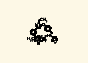 CCn1nc(-c2cccc(C(C)(C)NS(=O)(=O)CC(F)(F)F)c2)cc1Oc1ccc(CNc2ccon2)cc1